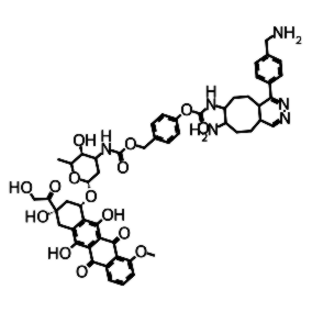 COc1cccc2c1C(=O)c1c(O)c3c(c(O)c1C2=O)C[C@@](O)(C(=O)CO)C[C@@H]3O[C@H]1CC(NC(=O)OCc2ccc(OC(=O)NC3CCC4C(c5ccc(CN)cc5)=NN=CC4CCC3N)cc2)[C@H](O)C(C)O1